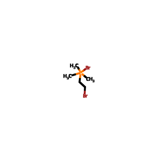 CP(C)(C)(Br)CCBr